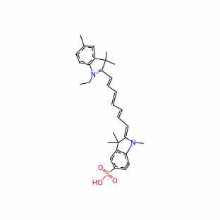 CC[N+]1=C(/C=C/C=C/C=C/C=C2/N(C)c3ccc(S(=O)(=O)O)cc3C2(C)C)C(C)(C)c2cc(C)ccc21